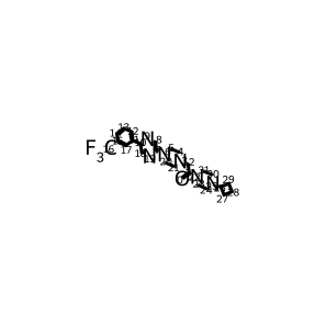 O=C(CN1CCN(c2cnc(-c3cccc(C(F)(F)F)c3)cn2)CC1)N1CCN(C2CCC2)CC1